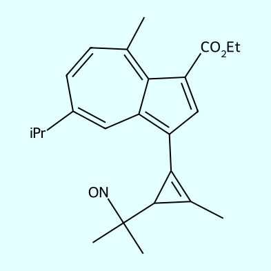 CCOC(=O)c1cc(C2=C(C)C2C(C)(C)N=O)c2cc(C(C)C)ccc(C)c1-2